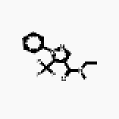 CCN(C)C(=O)c1cnn(-c2ccccc2)c1C(F)(F)F